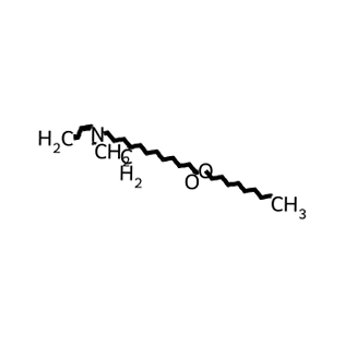 C=C/C=C\N(C=C)CCCC(=C)CCCCCCCC(=O)OCCCCCCCCC